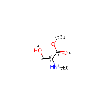 CCN[C@@H](CO)C(=O)OC(C)(C)C